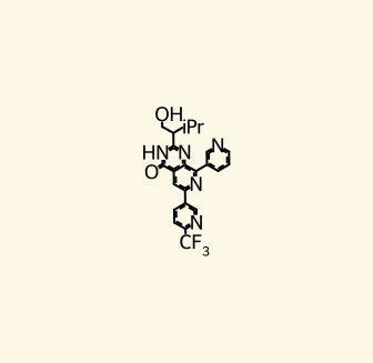 CC(C)C(CO)c1nc2c(-c3cccnc3)nc(-c3ccc(C(F)(F)F)nc3)cc2c(=O)[nH]1